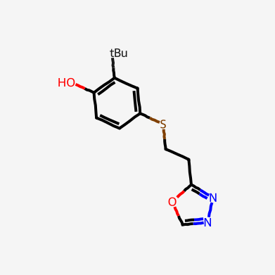 CC(C)(C)c1cc(SCCc2nnco2)ccc1O